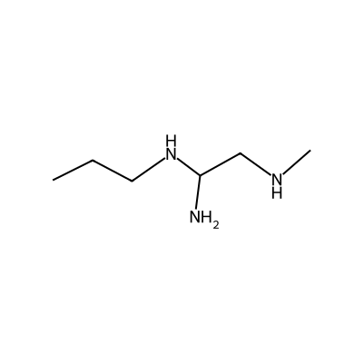 CCCNC(N)CNC